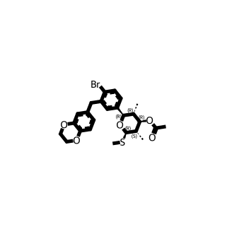 CS[C@H]1O[C@@H](c2ccc(Br)c(Cc3ccc4c(c3)OCCO4)c2)[C@H](C)[C@@H](OC(C)=O)[C@@H]1C